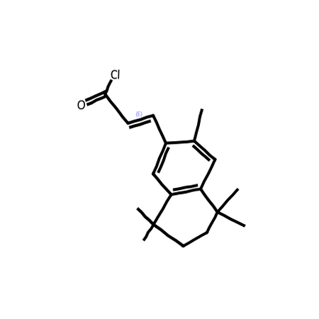 Cc1cc2c(cc1/C=C/C(=O)Cl)C(C)(C)CCC2(C)C